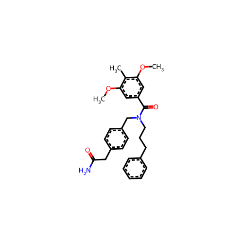 COc1cc(C(=O)N(CCCc2ccccc2)Cc2ccc(CC(N)=O)cc2)cc(OC)c1C